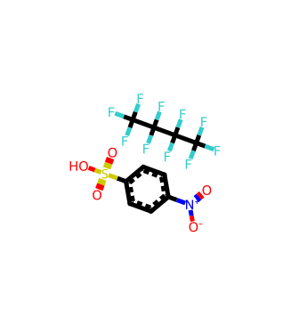 FC(F)(F)C(F)(F)C(F)(F)C(F)(F)F.O=[N+]([O-])c1ccc(S(=O)(=O)O)cc1